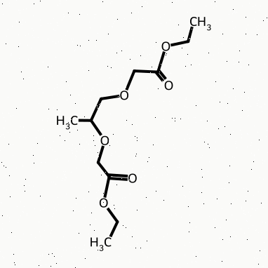 CCOC(=O)COCC(C)OCC(=O)OCC